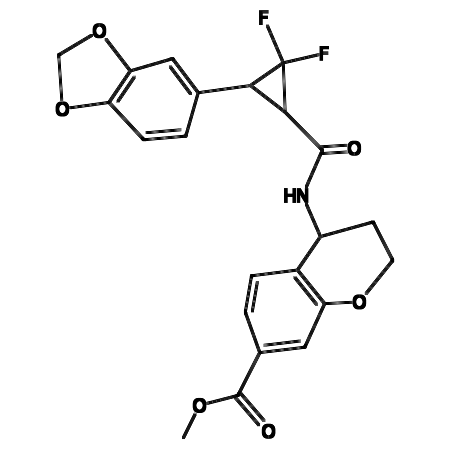 COC(=O)c1ccc2c(c1)OCCC2NC(=O)C1C(c2ccc3c(c2)OCO3)C1(F)F